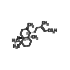 C=C1CC[C@H]2C(C)(C)CCC[C@]2(C)[C@H]1CCC(C)=CC(=O)O